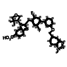 Cn1nnc2cc(COc3cccc(-c4cc(F)c(Cc5nc6ccc(C(=O)O)cc6n5[C@@H]5COCC5(C)C)cc4F)n3)ccc21